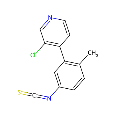 Cc1ccc(N=C=S)cc1-c1ccncc1Cl